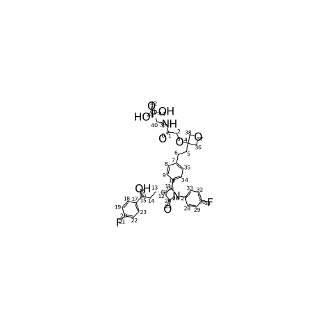 O=C(COC1(CCc2ccc([C@@H]3[C@@H](CC[C@H](O)c4ccc(F)cc4)C(=O)N3c3ccc(F)cc3)cc2)COC1)NCP(=O)(O)O